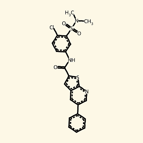 CN(C)S(=O)(=O)c1cc(NC(=O)c2cc3cc(-c4ccccc4)cnc3s2)ccc1Cl